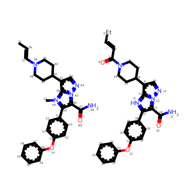 CC/C=C/C(=O)N1CCC(c2cnn3c(C(N)=O)c(-c4ccc(Oc5ccccc5)cc4)[nH]c23)CC1.CC=CN1CCC(c2cnn3c(C(N)=O)c(-c4ccc(Oc5ccccc5)cc4)n(C)c23)CC1